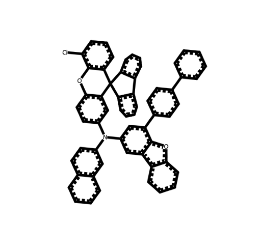 Clc1cccc2c1Oc1ccc(N(c3ccc4ccccc4c3)c3cc(-c4ccc(-c5ccccc5)cc4)c4oc5ccccc5c4c3)cc1C21c2ccccc2-c2ccccc21